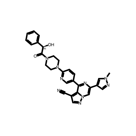 Cn1cc(-c2cn3ncc(C#N)c3c(-c3ccc(N4CCN(C(=O)[C@H](O)c5ccccc5)CC4)nc3)n2)cn1